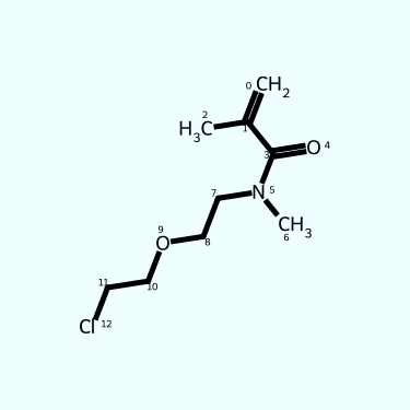 C=C(C)C(=O)N(C)CCOCCCl